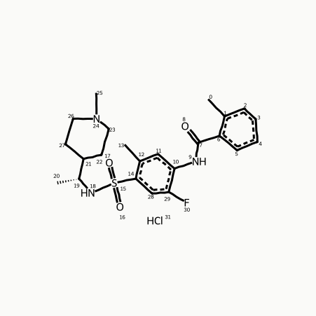 Cc1ccccc1C(=O)Nc1cc(C)c(S(=O)(=O)N[C@H](C)C2CCN(C)CC2)cc1F.Cl